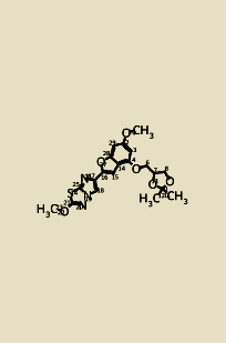 COc1cc(OCC2COC(C)(C)O2)c2cc(-c3cn4nc(OC)sc4n3)oc2c1